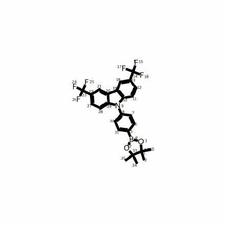 CC1(C)OB(c2ccc(-n3c4ccc(C(F)(F)F)cc4c4cc(C(F)(F)F)ccc43)cc2)OC1(C)C